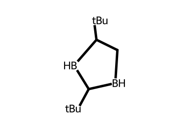 CC(C)(C)C1BCC(C(C)(C)C)B1